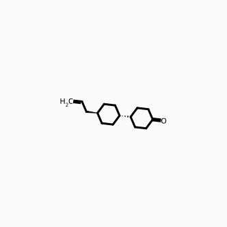 C=CC[C@H]1CC[C@H](C2CCC(=O)CC2)CC1